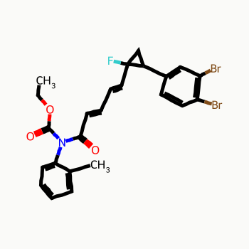 CCOC(=O)N(C(=O)/C=C/C=C/C1(F)CC1c1ccc(Br)c(Br)c1)c1ccccc1C